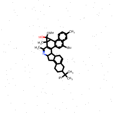 COC1(O)C2c3c(cc(C(C)(C)C)c4cc(C)ccc34)C3=C(C(C)=NC4CC5=C6CCC(C(C)(C)C(C)C)CC6=CCC5C34)C21C